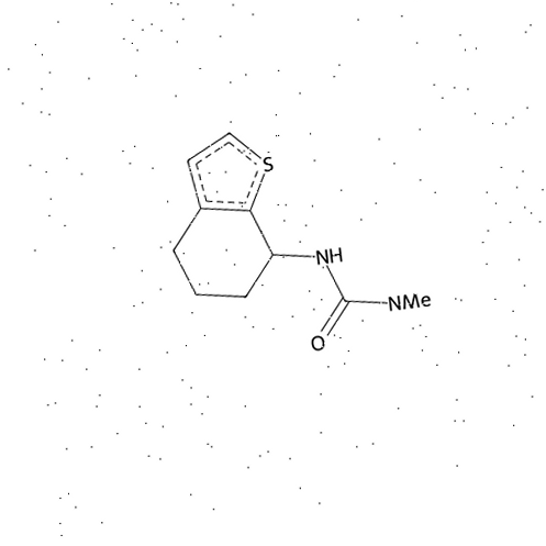 CNC(=O)NC1CCCc2ccsc21